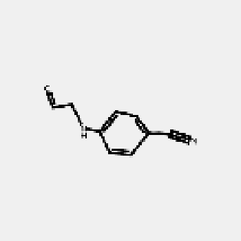 N#Cc1ccc(NCC=O)cc1